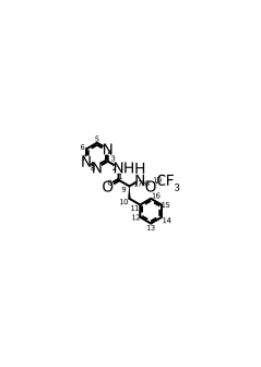 O=C(Nc1nccnn1)[C@H](Cc1ccccc1)NOC(F)(F)F